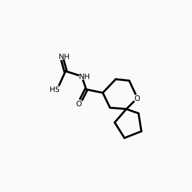 N=C(S)NC(=O)C1CCOC2(CCCC2)C1